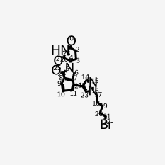 O=C1CCC(N2Cc3c(cccc3-c3cnn(CCCCCBr)c3)C2=O)C(=O)N1